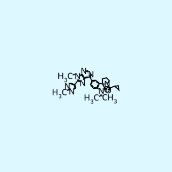 CCn1c(-c2cnc(C)nc2)nc2c(-c3ccc4c(c3)C3(CCCN3C(=O)C3CC3)C(=O)N4C(C)C)ncnc21